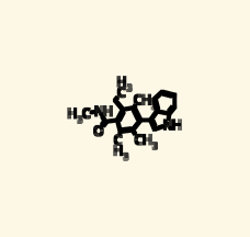 CCc1c(C)c(-c2c[nH]c3ccccc23)c(C)c(C)c1C(=O)NC